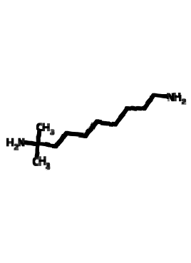 CC(C)(N)CCCCCCCCN